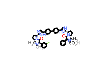 CN(C)C(C(=O)N1CCC[C@H]1c1ncc(-c2ccc(-c3ccc(-c4cnc([C@@H]5CCCN5C(=O)[C@@H](c5ccccc5)N(C)C(=O)O)[nH]4)cc3)cc2)[nH]1)c1cccc(F)c1